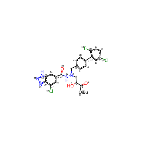 CC(C)COC(=O)C(O)CN(Cc1ccc(-c2cc(Cl)ccc2F)cc1)NC(=O)c1cc(Cl)c2nn[nH]c2c1